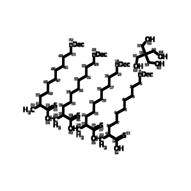 CCCCCCCCCCCCCCCCCCC(C)C(O)=S.CCCCCCCCCCCCCCCCCCC(C)C(O)=S.CCCCCCCCCCCCCCCCCCC(C)C(O)=S.CCCCCCCCCCCCCCCCCCC(C)C(O)=S.OCC(CO)(CO)CO